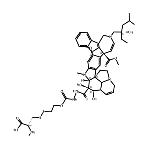 CC[C@](O)(CC(C)C)CN1C=C[C@](C(=O)OC)(c2cc3c(cc2OC)N(C)[C@H]2[C@@](O)(C(=O)NNC(=O)OCCSSC[C@H](NC)C(=O)O)[C@H](O)C4C=CCN5CC[C@]32C45)c2[nH]c3ccccc3c2C1